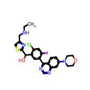 CCNCc1csc(C(O)c2cc(-c3ncnc4cc(N5CCOCC5)ccc34)c(I)cc2Cl)n1